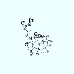 C=C(C)C(C1CC(=O)N(CCCS(=O)OCC)C1=O)C(C)(C)CC(C)(C)CC(C)(C)CC(C)(C)C